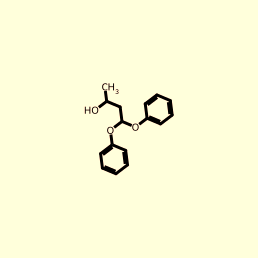 CC(O)CC(Oc1ccccc1)Oc1ccccc1